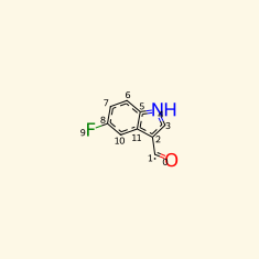 O=[C]c1c[nH]c2ccc(F)cc12